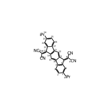 CC(C)c1ccc2c(c1)C(=C(C#N)C#N)c1cc3c(cc1-2)C(=C(C#N)C#N)c1cc(C(C)C)ccc1-3